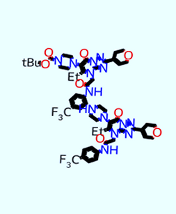 CCc1c(N2CCN(C(=O)OC(C)(C)C)CC2)c(=O)n2nc(C3=CCOCC3)nc2n1CC(=O)Nc1ccc(C(F)(F)F)cc1.CCc1c(N2CCNCC2)c(=O)n2nc(C3=CCOCC3)nc2n1CC(=O)Nc1ccc(C(F)(F)F)cc1